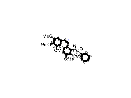 COc1cc(/C=C\c2ccc(OC)c(OC)c2NS(=O)(=O)c2ccccc2)cc(OC)c1OC